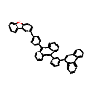 c1cc(-c2c3ccccc3c(-c3ccc(-c4ccc5oc6ccccc6c5c4)cc3)c3ccccc23)cc(-c2cc3ccccc3c3ccccc23)c1